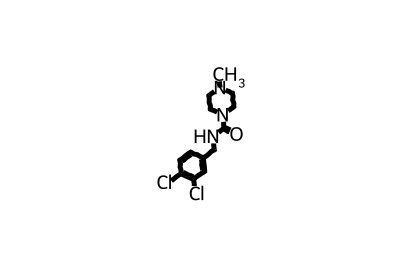 CN1CCN(C(=O)NCc2ccc(Cl)c(Cl)c2)CC1